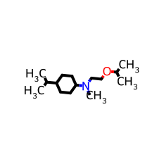 CC(C)OCCN(C)C1CCC(C(C)C)CC1